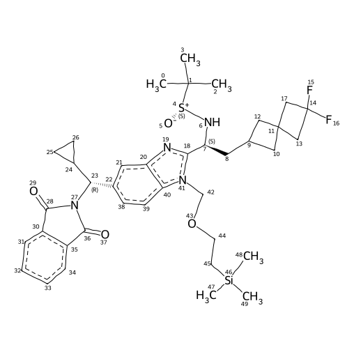 CC(C)(C)[S@@+]([O-])N[C@@H](CC1CC2(C1)CC(F)(F)C2)c1nc2cc([C@@H](C3CC3)N3C(=O)c4ccccc4C3=O)ccc2n1COCC[Si](C)(C)C